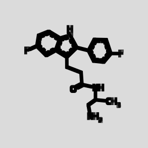 CC(CN)NC(=O)CCc1c(-c2ccc(F)cc2)[nH]c2ccc(F)cc12